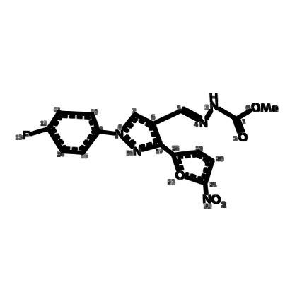 COC(=O)N/N=C/c1cn(-c2ccc(F)cc2)nc1-c1ccc([N+](=O)[O-])o1